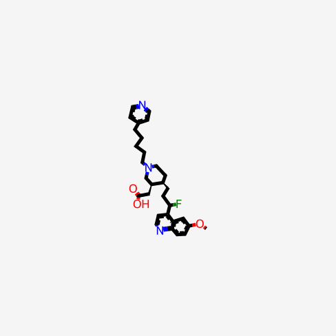 COc1ccc2nccc(C(F)CC[C@@H]3CCN(CCCCCc4ccncc4)C[C@@H]3CC(=O)O)c2c1